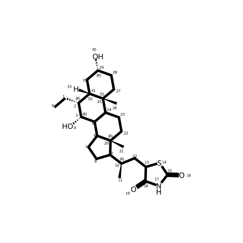 CC[C@H]1[C@@H](O)C2C3CCC([C@H](C)CC4SC(=O)NC4=O)[C@@]3(C)CCC2[C@@]2(C)CC[C@@H](O)C[C@@H]12